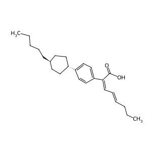 CCCC=CC=C(C(=O)O)c1ccc([C@H]2CC[C@H](CCCCC)CC2)cc1